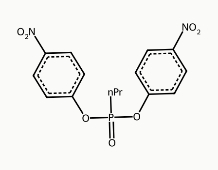 CCCP(=O)(Oc1ccc([N+](=O)[O-])cc1)Oc1ccc([N+](=O)[O-])cc1